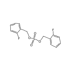 O=S(=O)(OCc1ccccc1F)OCc1ccccc1F